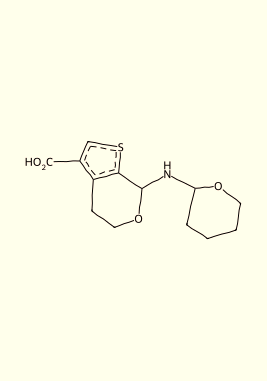 O=C(O)c1csc2c1CCOC2NC1CCCCO1